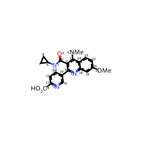 CNc1c(C(=O)NC2CC2)c(-c2ccc(C(=O)O)nc2)nc2cc(OC)ccc12